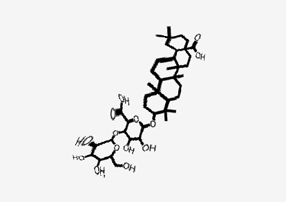 CC1(C)CCC2(C(=O)O)CCC3(C)C(=CCC4C5(C)CCC(OC6OC(C(=O)O)C(OC7OC(CO)C(O)C(O)C7O)C(O)C6O)C(C)(C)C5CCC43C)C2C1